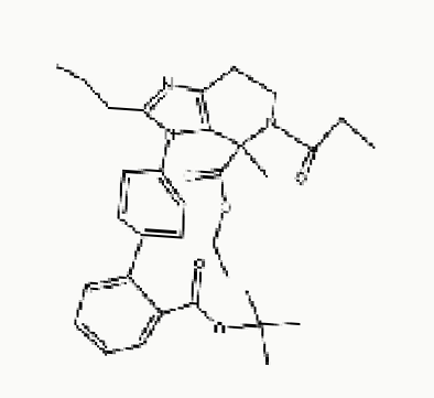 CCCc1nc2c(n1-c1ccc(-c3ccccc3C(=O)OC(C)(C)C)cc1)C(C)(C(=O)OCC)N(C(=O)CC)CC2